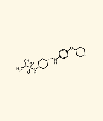 CC(C)S(=O)(=O)N[C@H]1CC[C@H](CNc2ccc(OC3CCOCC3)cc2)CC1